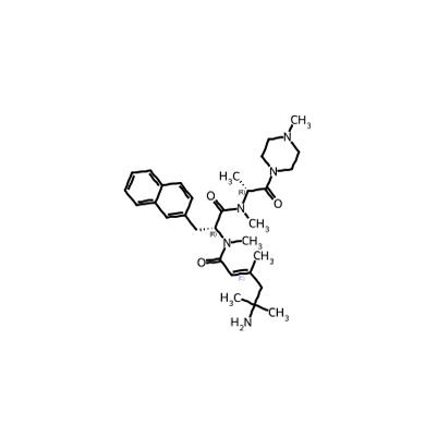 C/C(=C\C(=O)N(C)[C@H](Cc1ccc2ccccc2c1)C(=O)N(C)[C@H](C)C(=O)N1CCN(C)CC1)CC(C)(C)N